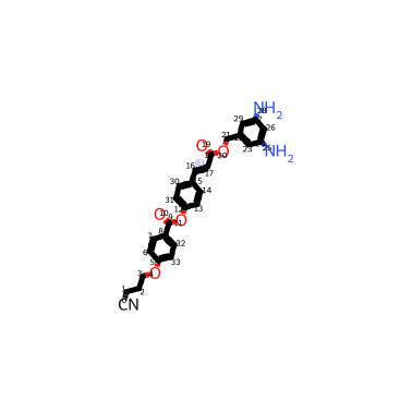 N#CCCCOc1ccc(C(=O)Oc2ccc(/C=C/C(=O)OCc3cc(N)cc(N)c3)cc2)cc1